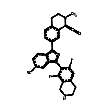 CN1CCc2ccc(-c3nn(-c4c(F)cc5c(c4F)CNCC5)c4cc(C#N)ccc34)cc2C1=C=O